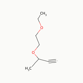 [C]#CC(C)OCCOCC